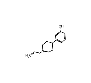 C=CCN1CCC(c2cccc(O)c2)CC1